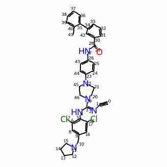 C#C/N=C(/Nc1c(Cl)cc(CN2CCCC2)cc1Cl)N1CCN(c2ccc(NC(=O)c3cccc(-c4ccccc4C)c3)cc2)CC1